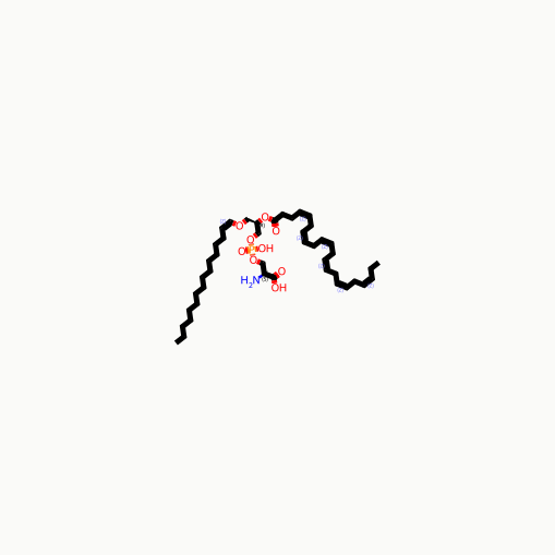 CC/C=C\C/C=C\C/C=C\C/C=C\C/C=C\C/C=C\CCC(=O)O[C@H](CO/C=C\CCCCCCCCCCCCCC)COP(=O)(O)OC[C@H](N)C(=O)O